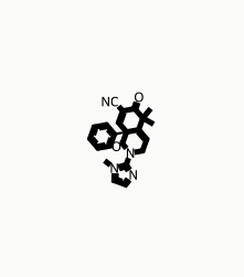 Cn1ccnc1N1CC=C2C(C)(C)C(=O)C(C#N)=C[C@@]2(c2ccccc2)C1=O